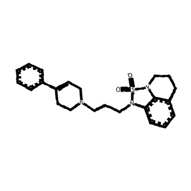 O=S1(=O)N(CCCN2CC=C(c3ccccc3)CC2)c2cccc3c2N1CCC3